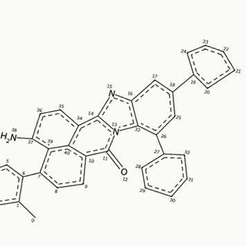 Cc1ccccc1-c1ccc2c(=O)n3c(nc4cc(-c5ccccc5)cc(-c5ccccc5)c43)c3ccc(N)c1c23